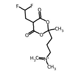 C=[N+](C)CCCC1(C)OC(=O)C(CC(F)F)C(=O)O1